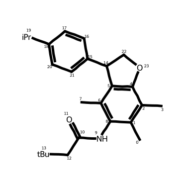 Cc1c(C)c2c(c(C)c1NC(=O)CC(C)(C)C)C(c1ccc(C(C)C)cc1)CO2